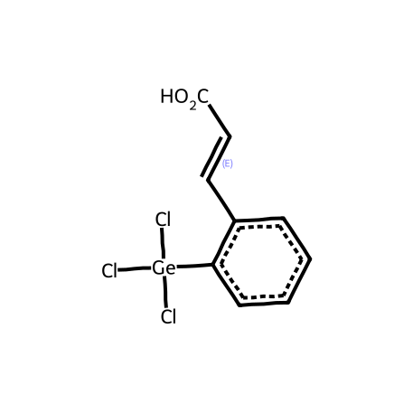 O=C(O)/C=C/c1cccc[c]1[Ge]([Cl])([Cl])[Cl]